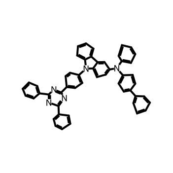 c1ccc(-c2ccc(N(c3ccccc3)c3ccc4c(c3)c3ccccc3n4-c3ccc(-c4nc(-c5ccccc5)nc(-c5ccccc5)n4)cc3)cc2)cc1